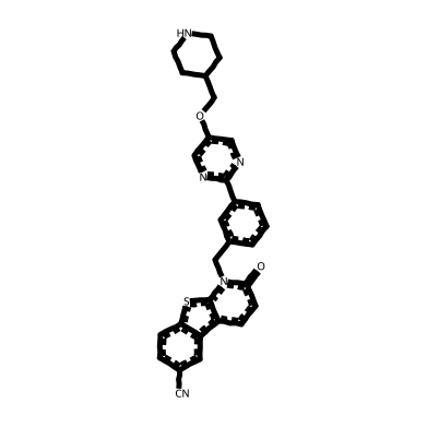 N#Cc1ccc2sc3c(ccc(=O)n3Cc3cccc(-c4ncc(OCC5CCNCC5)cn4)c3)c2c1